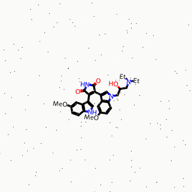 CCN(CC)CC(O)Cn1cc(C2=C(c3c[nH]c4ccc(OC)cc34)C(=O)NC2=O)c2cc(OC)ccc21